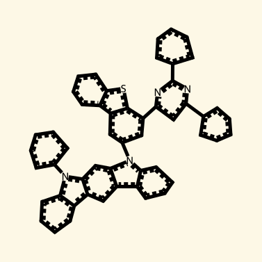 c1ccc(-c2cc(-c3cc(-n4c5ccccc5c5cc6c7ccccc7n(-c7ccccc7)c6cc54)cc4c3sc3ccccc34)nc(-c3ccccc3)n2)cc1